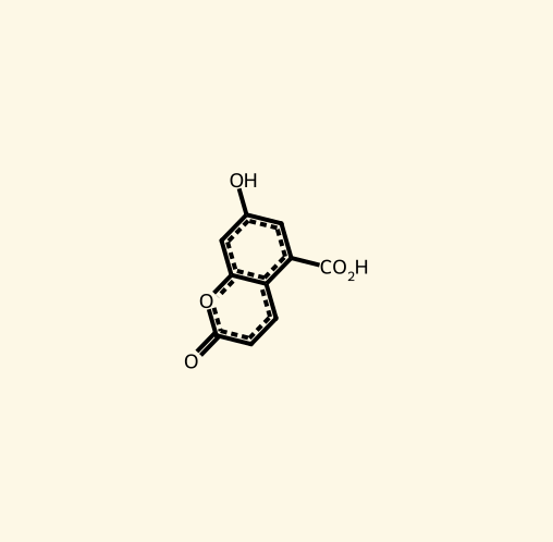 O=C(O)c1cc(O)cc2oc(=O)ccc12